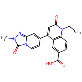 CCn1c(=O)cc(-c2ccn3c(=O)n(C)nc3c2)c2cc(C(=O)O)ccc21